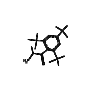 CC(P)C(=O)c1c(C(C)(C)C)cc(C(C)(C)C)cc1C(C)(C)C